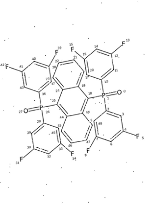 O=P(c1cc(F)cc(F)c1)(c1cc(F)cc(F)c1)c1c2ccccc2c(P(=O)(c2cc(F)cc(F)c2)c2cc(F)cc(F)c2)c2ccccc12